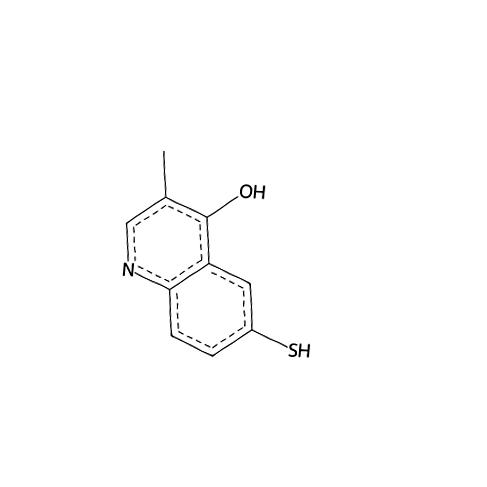 Cc1cnc2ccc(S)cc2c1O